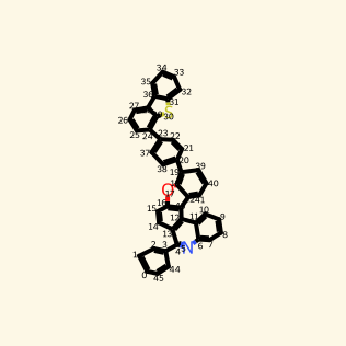 c1ccc(-c2nc3ccccc3c3c2ccc2oc4c(-c5ccc(-c6cccc7c6sc6ccccc67)cc5)cccc4c23)cc1